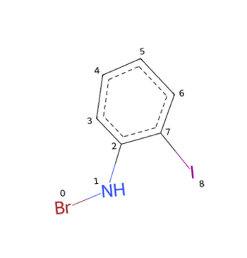 BrNc1ccccc1I